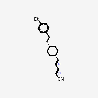 CCc1ccc(CC[C@H]2CC[C@H](/C=C/C=C/C#N)CC2)cc1